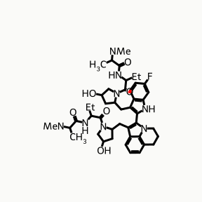 CCC(NC(=O)C(C)NC)C(=O)N1CC(O)CC1Cc1c(-c2c(CC3CC(O)CN3C(=O)C(CC)NC(=O)C(C)NC)c3cccc4c3n2CCC4)[nH]c2cc(F)ccc12